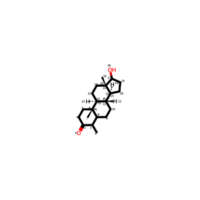 CC1C(=O)CC[C@@]2(C)C1CC[C@@H]1[C@@H]2CC[C@]2(C)C(O)CC[C@@H]12